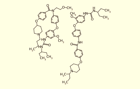 CCC(CC)NC(=O)Nc1ccc(Oc2ccc(NC(=O)c3ccc(OC4CCN(C(C)CC)CC4)cc3)cc2)c(OC)c1.CCCCN1CCC(Oc2ccc(C(=O)N(CCOC)c3ccc(Oc4ccc(NC(=O)NC(CC)CC)cc4OC)cc3)cc2)CC1